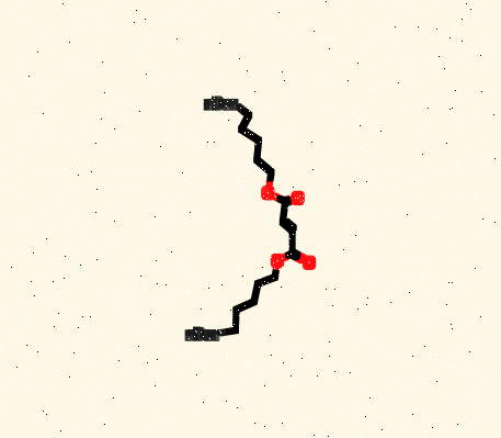 CCCCCCCCCCCCCCCOC(=O)C=CC(=O)OCCCCCCCCCCCCCCC